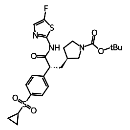 CC(C)(C)OC(=O)N1CC[C@H](C[C@@H](C(=O)Nc2ncc(F)s2)c2ccc(S(=O)(=O)C3CC3)cc2)C1